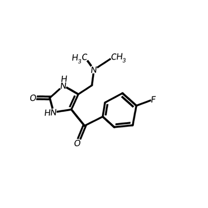 CN(C)Cc1[nH]c(=O)[nH]c1C(=O)c1ccc(F)cc1